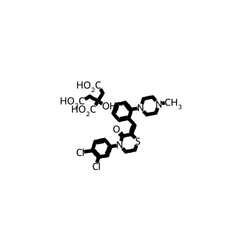 CN1CCN(c2ccccc2/C=C2/SCCN(c3ccc(Cl)c(Cl)c3)C2=O)CC1.O=C(O)CC(O)(CC(=O)O)C(=O)O